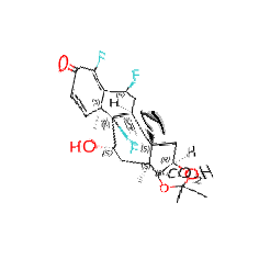 CC1(C)O[C@@H]2C[C@H]3[C@@H]4C[C@H](F)C5=C(F)C(=O)C=C[C@]5(C)[C@@]4(F)[C@@H](O)C[C@]3(C)[C@]2(C(=O)O)O1